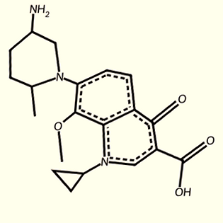 COc1c(N2CC(N)CCC2C)ccc2c(=O)c(C(=O)O)cn(C3CC3)c12